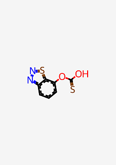 OC(=S)Oc1cccc2nnsc12